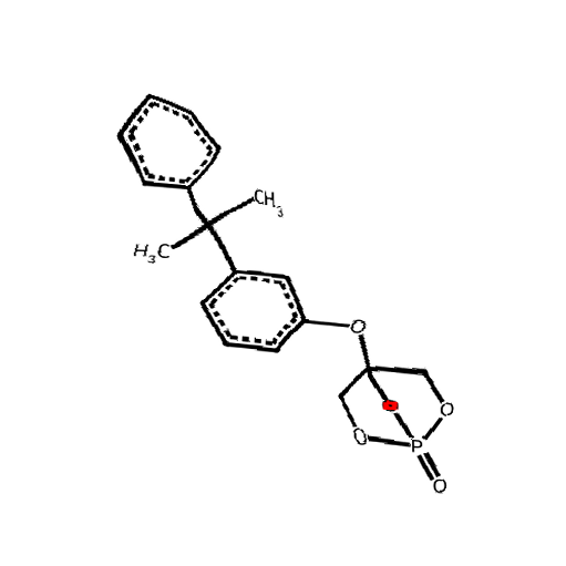 CC(C)(c1ccccc1)c1cccc(OC23COP(=O)(OC2)OC3)c1